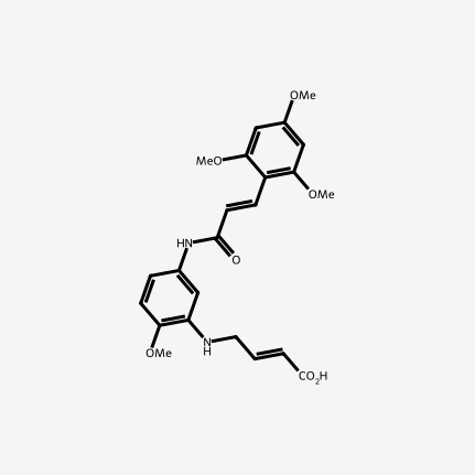 COc1cc(OC)c(C=CC(=O)Nc2ccc(OC)c(NCC=CC(=O)O)c2)c(OC)c1